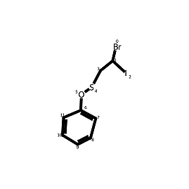 BrC(I)CSOc1c[c]ccc1